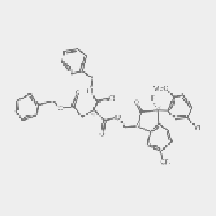 COc1ccc(Cl)cc1[C@]1(F)C(=O)N(COC(=O)[C@@H](CC(=O)OCc2ccccc2)C(=O)OCc2ccccc2)c2cc(C(F)(F)F)ccc21